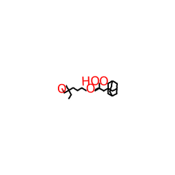 CCC1(CCCCOC=C(CC23CC4CC(CC(C4)C2)C3)C(=O)O)COC1